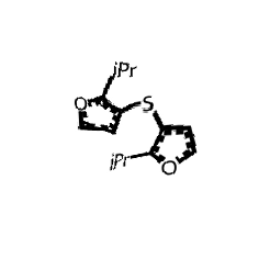 CC(C)c1occc1Sc1ccoc1C(C)C